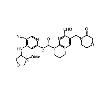 CO[C@H]1COCC1Nc1cc(NC(=O)N2CCCc3cc(CN4CCOCC4=O)c(C=O)nc32)ncc1C#N